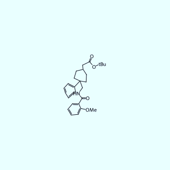 COc1ccccc1C(=O)NCC1(c2ccccc2)CCC(CC(=O)OC(C)(C)C)CC1